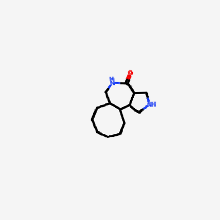 O=C1NCC2CCCCCCC2C2CNCC12